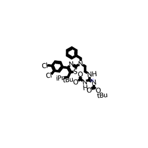 CC(C)Cc1sc(N(CCN/C(=N/C(=O)OC(C)(C)C)NC(=O)OC(C)(C)C)Cc2ccccc2)nc1-c1ccc(Cl)c(Cl)c1